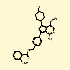 CCOc1cnc(N)c2c(-c3ccc(CNC(=O)c4ccccc4OC)cc3)nc(C3CCC(O)CC3)n12